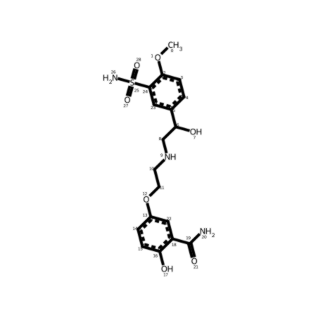 COc1ccc(C(O)CNCCOc2ccc(O)c(C(N)=O)c2)cc1S(N)(=O)=O